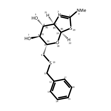 CNC1=N[C@@H]2[C@@H](O)[C@H](O)[C@@H](CSCc3ccccc3)O[C@@H]2S1